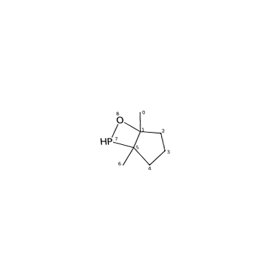 CC12CCCC1(C)PO2